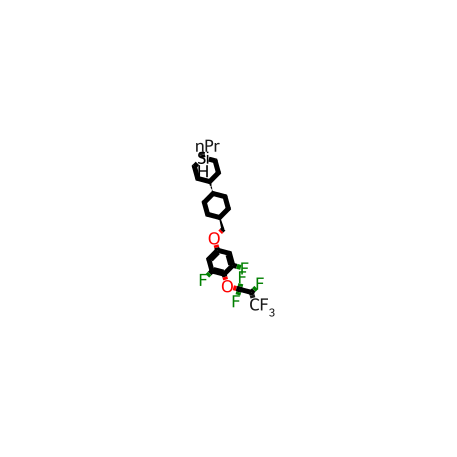 CCC[SiH]1CCC([C@H]2CC[C@H](COc3cc(F)c(OC(F)(F)C(F)C(F)(F)F)c(F)c3)CC2)CC1